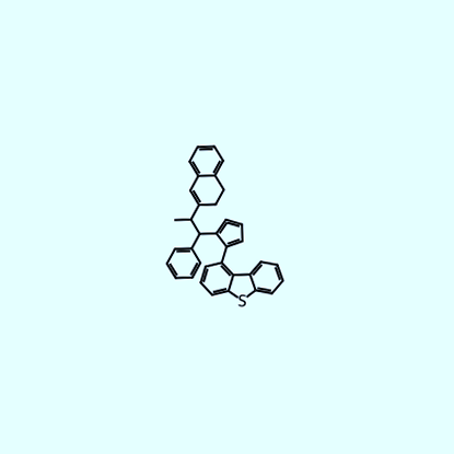 CC(C1=Cc2ccccc2CC1)C(C1=C=CC=C1c1cccc2sc3ccccc3c12)c1ccccc1